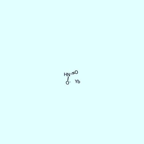 O=[NH+][O-].[Yb]